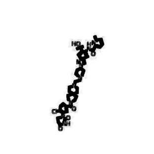 Cc1cccc(C(=O)Nc2cc3cn(C4CCN(CCN5CCC6(CC5)CCN(C(=O)c5ccc(Cl)c(N7CCC(=O)NC7=O)c5)CC6)CC4)nc3cc2C(C)(C)O)n1